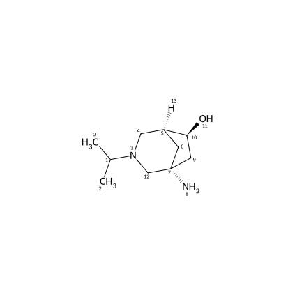 CC(C)N1C[C@@H]2C[C@@](N)(C[C@@H]2O)C1